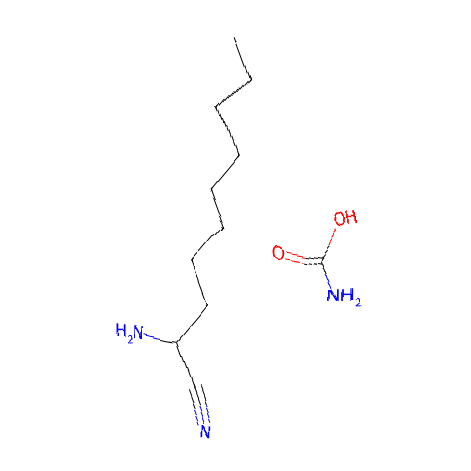 CCCCCCCCC(N)C#N.NC(=O)O